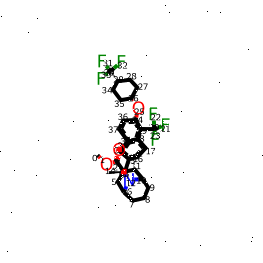 COC(=O)C1CC2CCCC(C1)N2[C@@H](C)c1ccc2c(C(F)(F)F)c(O[C@H]3CC[C@@H](C(F)(F)F)CC3)ccc2c1